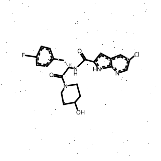 O=C(N[C@@H](Cc1ccc(F)cc1)C(=O)N1CCC(O)CC1)c1cc2cc(Cl)cnc2[nH]1